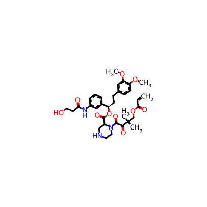 C=CC(=O)OCC(C)(C)C(=O)C(=O)N1CCNCC1C(=O)O[C@H](CCc1ccc(OC)c(OC)c1)c1cccc(NC(=O)CCO)c1